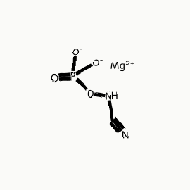 N#CNOP(=O)([O-])[O-].[Mg+2]